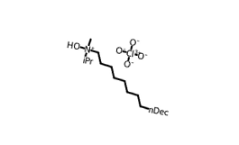 CCCCCCCCCCCCCCCCCC[N+](C)(O)C(C)C.[O-][Cl+3]([O-])([O-])[O-]